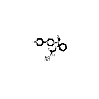 Cl.Cl.O=CN(N1CCN(C2CCNCC2)CC1)C1(OCC(=O)O)CCCCC1